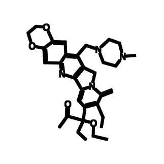 C=C1C(CC)=C(C(CC)(OCC)C(C)=O)C=C2c3nc4cc5c(cc4c(CN4CCN(C)CC4)c3CN12)OCCO5